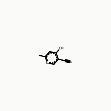 Cc1[c]c(O)c(C#N)cn1